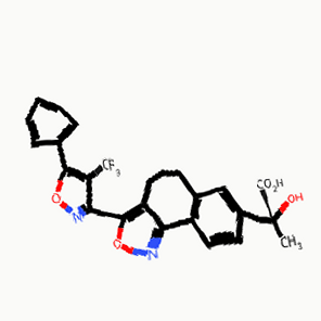 C[C@](O)(C(=O)O)c1ccc2c(c1)CCc1c-2noc1-c1noc(-c2ccccc2)c1C(F)(F)F